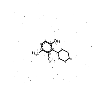 Cc1ccc(O)c(C2CCCCC2)c1C